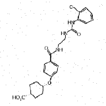 O=C(NCCNC(=O)c1ccc(O[C@H]2CC[C@@H](C(=O)O)CC2)cc1)Nc1ccccc1Cl